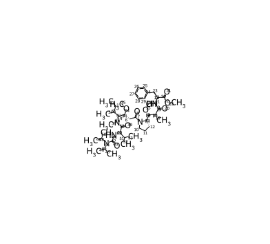 CC[C@H](C)[C@@H]([C@@H](CC(=O)N1CCC[C@H]1[C@H](OC)[C@@H](C)C(=O)N[C@@H](Cc1ccccc1)C(=O)OC)OC)N(C)C(=O)[C@@H](NC(=O)N(C(C)C)C(C)C)C(C)C